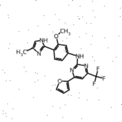 COc1cc(Nc2nc(-c3ccco3)cc(C(F)(F)F)n2)ccc1-c1nc(C)c[nH]1